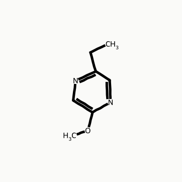 CCc1cnc(OC)cn1